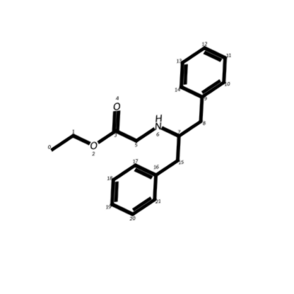 CCOC(=O)CNC(Cc1ccccc1)Cc1ccccc1